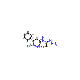 N/N=C1\COc2nc(Br)c(-c3ccccc3)cc2N1